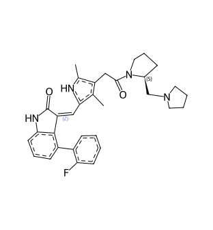 Cc1[nH]c(/C=C2\C(=O)Nc3cccc(-c4ccccc4F)c32)c(C)c1CC(=O)N1CCC[C@H]1CN1CCCC1